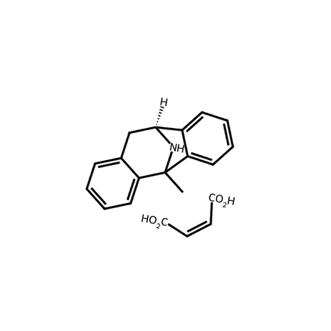 CC12N[C@@H](Cc3ccccc31)c1ccccc12.O=C(O)/C=C\C(=O)O